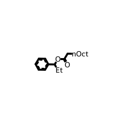 CCCCCCCCCC(=O)OC(CC)c1ccccc1